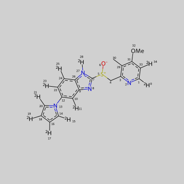 [2H]c1nc(C[S+]([O-])c2nc3c([2H])c(-n4c([2H])c([2H])c([2H])c4[2H])c([2H])c([2H])c3n2[2H])c(C)c(OC)c1[2H]